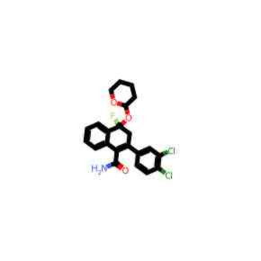 NC(=O)C1=C(c2ccc(Cl)c(Cl)c2)CC(F)(OC2CCCCO2)c2ccccc21